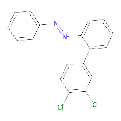 Clc1ccc(-c2ccccc2N=Nc2ccccc2)cc1Cl